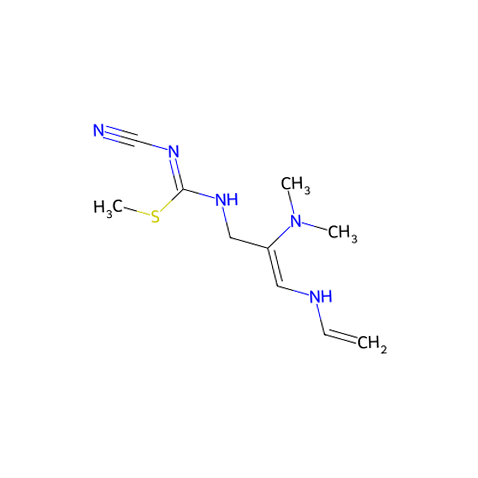 C=CN/C=C(/CN/C(=N/C#N)SC)N(C)C